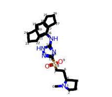 CN1CCCC1CCS(=O)(=O)c1n[nH]c(Nc2c3c(cc4c2CCC4)CCC3)n1